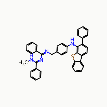 CN/C(=N\C(=N/Cc1ccc(Nc2c(-c3ccccc3)ccc3c2sc2ccccc23)cc1)c1ccccc1)c1ccccc1